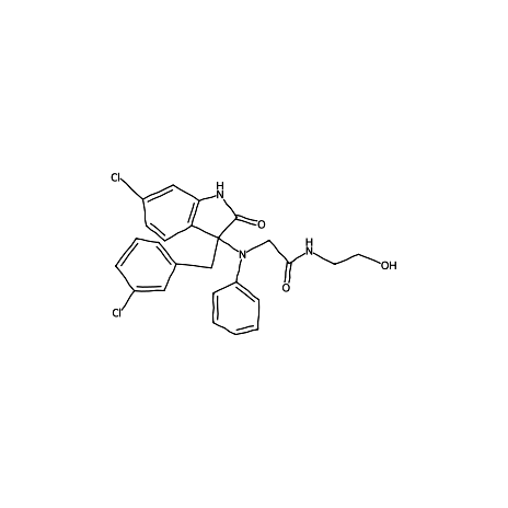 O=C(CN(c1ccccc1)C1(Cc2cccc(Cl)c2)C(=O)Nc2cc(Cl)ccc21)NCCO